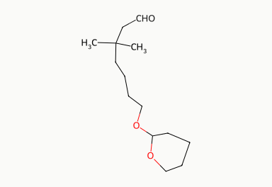 CC(C)(CC=O)CCCCOC1CCCCO1